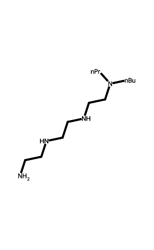 CCCCN(CCC)CCNCCNCCN